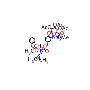 COC(=O)C1O[C@@H](Oc2ccc(COC(=O)N(CCN(C)C)COC(C)(C)Cc3ccccc3)cc2N)C(OC(C)=O)[C@@H](OC(C)=O)C1OC(C)=O